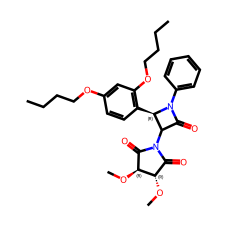 CCCCOc1ccc([C@@H]2C(N3C(=O)[C@H](OC)[C@@H](OC)C3=O)C(=O)N2c2ccccc2)c(OCCCC)c1